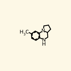 Cc1ccc2c(c1)N1CCCC1CN2